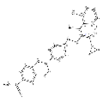 COC(=O)c1ccc2c(c1)CCC(c1ccc(OC/C(C(=N)c3c(Cl)cccc3Cl)=C(/O)C3CC3)nc1)O2